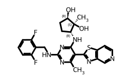 Cc1nc(NCc2c(F)cccc2F)nc(N[C@@H]2CC[C@@H](O)[C@@]2(C)O)c1-c1nc2cnccc2s1